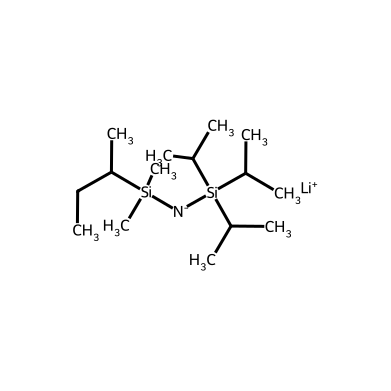 CCC(C)[Si](C)(C)[N-][Si](C(C)C)(C(C)C)C(C)C.[Li+]